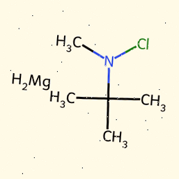 CN(Cl)C(C)(C)C.[MgH2]